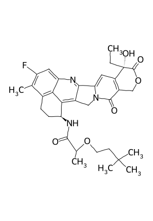 CC[C@@]1(O)C(=O)OCc2c1cc1n(c2=O)Cc2c-1nc1cc(F)c(C)c3c1c2[C@@H](NC(=O)C(C)OCCC(C)(C)C)CC3